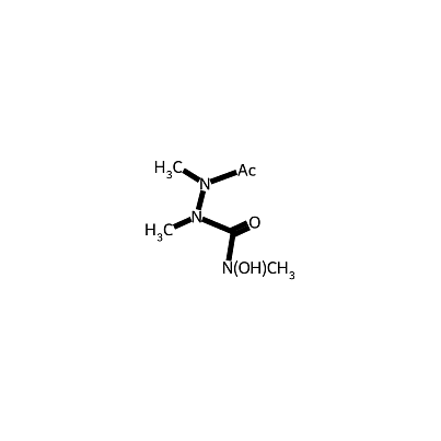 CC(=O)N(C)N(C)C(=O)N(C)O